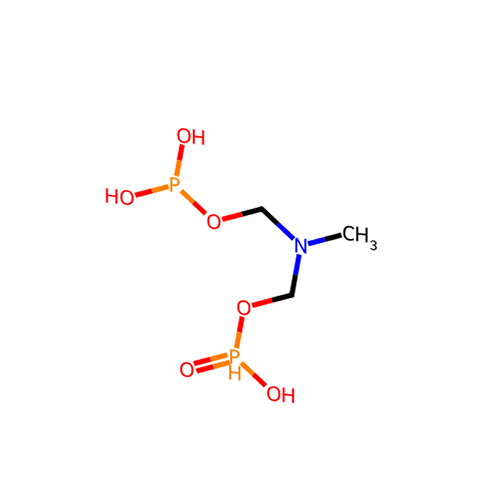 CN(COP(O)O)CO[PH](=O)O